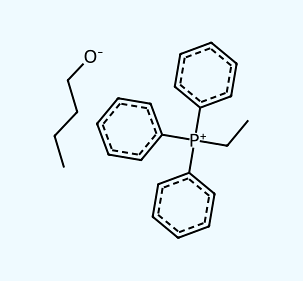 CCCC[O-].CC[P+](c1ccccc1)(c1ccccc1)c1ccccc1